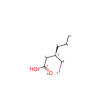 CCC[C@@H](CI)CC(=O)O